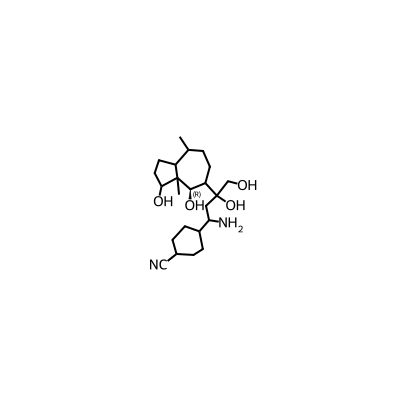 CC1CCC(C(O)(CO)CC(N)C2CCC(C#N)CC2)[C@@H](O)C2(C)C(O)CCC12